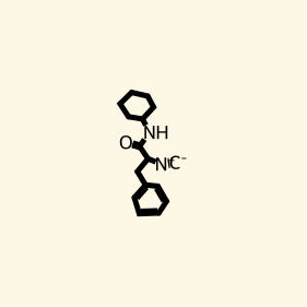 [C-]#[N+]C(Cc1ccccc1)C(=O)NC1CCCCC1